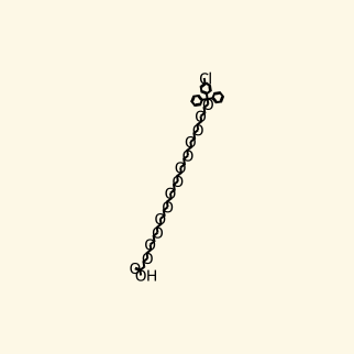 O=C(O)CCOCCOCCOCCOCCOCCOCCOCCOCCOCCOCCOCCOCCOC(c1ccccc1)(c1ccccc1)c1ccc(Cl)cc1